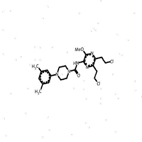 COc1nc(CCCl)c(CCCl)nc1NC(=O)N1CCN(c2cc(C)cc(C)c2)CC1